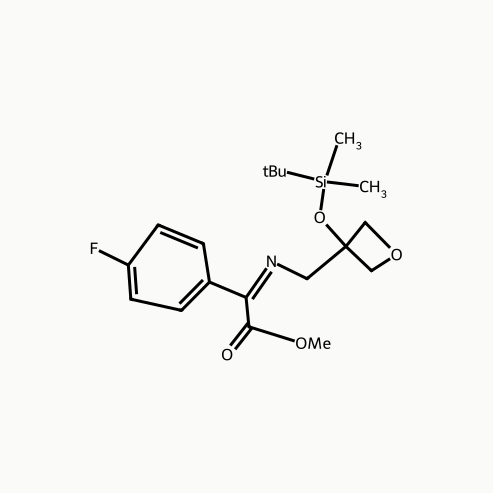 COC(=O)/C(=N\CC1(O[Si](C)(C)C(C)(C)C)COC1)c1ccc(F)cc1